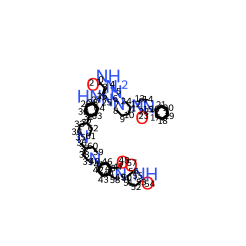 NC(=O)c1nnc(N2CCCC(N3CCN(c4ccccc4)C3=O)C2)nc1Nc1ccc(C2CCN(CC3CCN(c4ccc5c(c4)C(=O)N(C4CCC(=O)NC4=O)C5)CC3)CC2)cc1